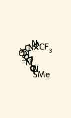 CSc1ccc(-c2ccc3nc(O[C@@H](C)C4CCN(C5=NC=C(C(F)(F)F)C5(C)C)CC4)sc3n2)cn1